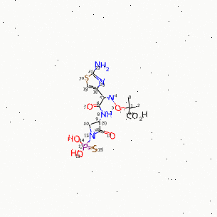 CC(C)(ON=C(C(=O)N[C@H]1CN(P(O)(O)=S)C1=O)c1csc(N)n1)C(=O)O